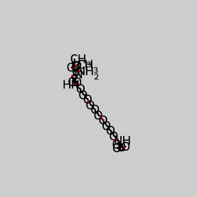 CCCN(OCC)C(=O)C1=Cc2ccc(S(=O)(=O)NCCOCCOCCOCCOCCOCCOCCOCCOCCOCCOCCNC(=O)CN3C(=O)C=CC3=O)cc2N=C(N)C1